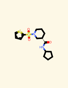 O=C(NC1CCCC1)[C@H]1CCCN(S(=O)(=O)c2cccs2)C1